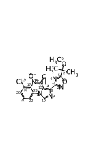 COC(C)(C)c1nc(-c2ncn3c2c(C)[n+]([O-])c2c(Cl)cccc23)no1